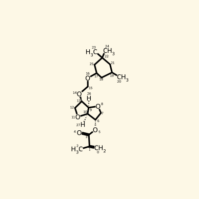 C=C(C)C(=O)O[C@H]1CO[C@H]2[C@@H]1OC[C@H]2OCOC1CC(C)CC(C)(C)C1